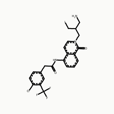 NCC(CI)Cn1ccc2c(NC(=O)Cc3ccc(Cl)c(C(F)(F)F)c3)cccc2c1=O